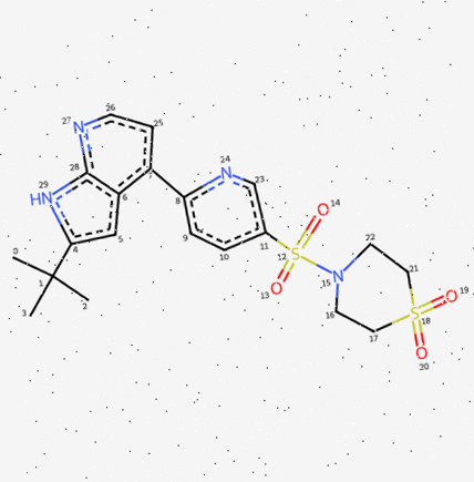 CC(C)(C)c1cc2c(-c3ccc(S(=O)(=O)N4CCS(=O)(=O)CC4)cn3)ccnc2[nH]1